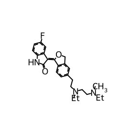 CCN(C)CCN(CC)CCc1ccc2c(c1)COC2=C1C(=O)Nc2ccc(F)cc21